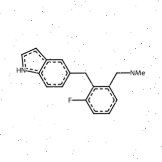 CNCc1cccc(F)c1Cc1ccc2[nH]ccc2c1